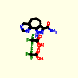 NC(=O)c1n[nH]c2c1CCCc1cncnc1-2.O=C(O)C(F)(F)F.O=C(O)C(F)(F)F